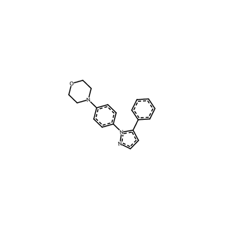 c1ccc(-c2ccnn2-c2ccc(N3CCOCC3)cc2)cc1